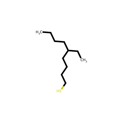 CCCCC(CC)CCCCS